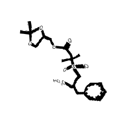 CC1(C)OCC(COC(=O)C(C)(C)S(=O)(=O)CC(Cc2ccccc2)C(=O)O)O1